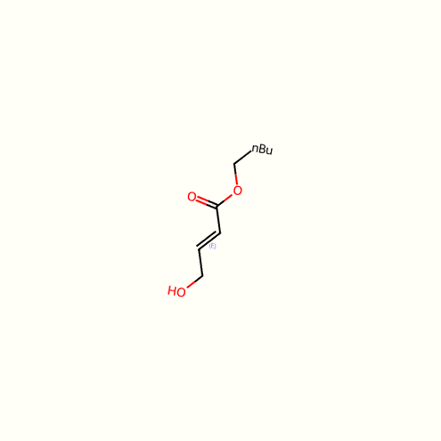 CCCCCOC(=O)/C=C/CO